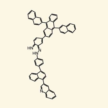 N=C1C=CC(c2ccc3c(-c4ccc5ccccc5c4)c4ccccc4c(-c4ccc5ccccc5c4)c3c2)=C/C1=N/Nc1ccc(-c2ccc(-c3cnc4ccccc4c3)c3ccccc23)cc1